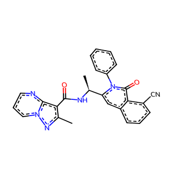 Cc1nn2cccnc2c1C(=O)N[C@@H](C)c1cc2cccc(C#N)c2c(=O)n1-c1ccccc1